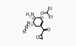 CCC(CC)O[C@@H]1C=C(C(=O)C2CO2)C[C@H](N=[N+]=[N-])[C@H]1N